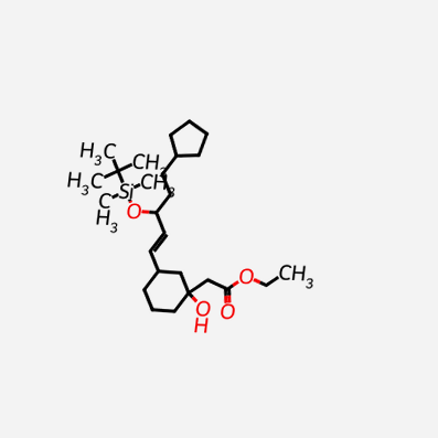 CCOC(=O)CC1(O)CCCC(C=CC(CCC2CCCC2)O[Si](C)(C)C(C)(C)C)C1